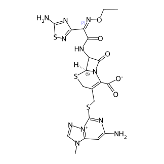 CCO/N=C(\C(=O)NC1C(=O)N2C(C(=O)[O-])=C(CSc3nc(N)cc4n(C)cn[n+]34)CS[C@@H]12)c1nsc(N)n1